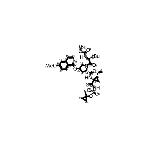 C=C[C@@H]1C[C@]1(NC(=O)[C@@H]1C[C@@H](Oc2nccc3cc(OC)ccc23)CN1C(=O)[C@@H](NC(=O)OC(C)(C)C)C(C)(C)C)C(=O)NS(=O)(=O)OC1(C)CC1